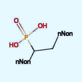 CCCCCCCCCCC(CCCCCCCCC)P(=O)(O)O